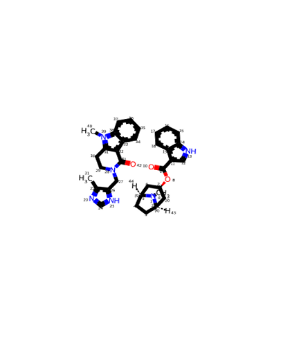 CN1[C@@H]2CC[C@H]1C[C@@H](OC(=O)c1c[nH]c3ccccc13)C2.Cc1nc[nH]c1CN1CCc2c(c3ccccc3n2C)C1=O